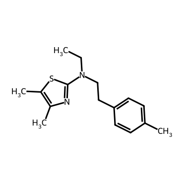 CCN(CCc1ccc(C)cc1)c1nc(C)c(C)s1